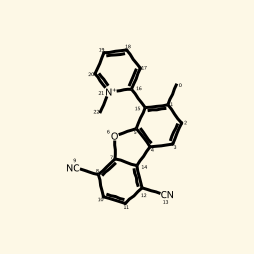 Cc1ccc2c(oc3c(C#N)ccc(C#N)c32)c1-c1cccc[n+]1C